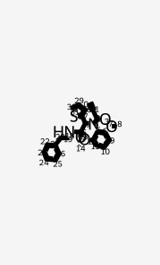 C#CC(=O)N(c1c(OC)cccc1OC)C(C(=O)NCCc1ccccc1)c1cccs1